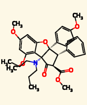 CCCN(CCC)[C@@]12C(=O)[C@H](C(=O)OC)[C@@H](c3ccccc3)[C@]1(c1ccc(OC)cc1)Oc1cc(OC)cc(OC)c12